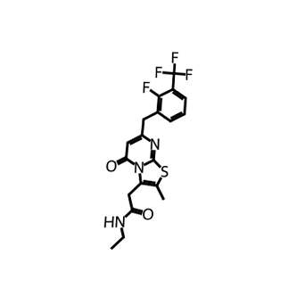 CCNC(=O)Cc1c(C)sc2nc(Cc3cccc(C(F)(F)F)c3F)cc(=O)n12